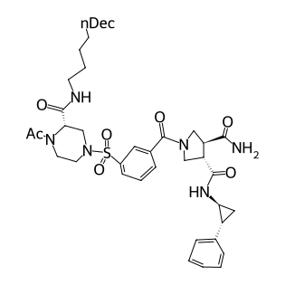 CCCCCCCCCCCCCCNC(=O)[C@@H]1CN(S(=O)(=O)c2cccc(C(=O)N3C[C@@H](C(N)=O)[C@H](C(=O)N[C@H]4C[C@@H]4c4ccccc4)C3)c2)CCN1C(C)=O